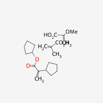 C=C(C(=O)OC1CCCC1)C1CCCC1.C=C(C)C(=O)O.C=C(OC)C(=O)O